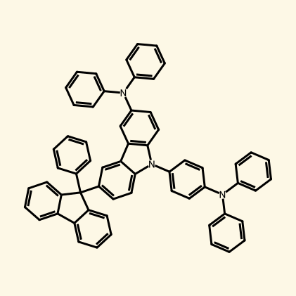 c1ccc(N(c2ccccc2)c2ccc(-n3c4ccc(N(c5ccccc5)c5ccccc5)cc4c4cc(C5(c6ccccc6)c6ccccc6-c6ccccc65)ccc43)cc2)cc1